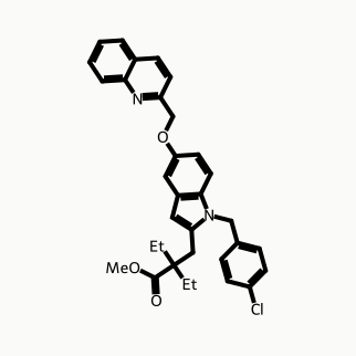 CCC(CC)(Cc1cc2cc(OCc3ccc4ccccc4n3)ccc2n1Cc1ccc(Cl)cc1)C(=O)OC